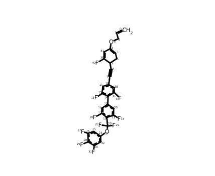 C=CCOC1=CCC(C#Cc2cc(F)c(-c3cc(F)c(C(F)(F)Oc4cc(F)c(F)c(F)c4)c(F)c3)c(F)c2)C(F)=C1